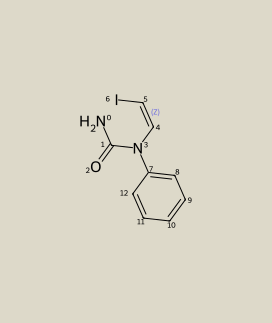 NC(=O)N(/C=C\I)c1ccccc1